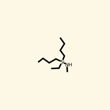 CCCC[Si](CC)(CCCC)NC